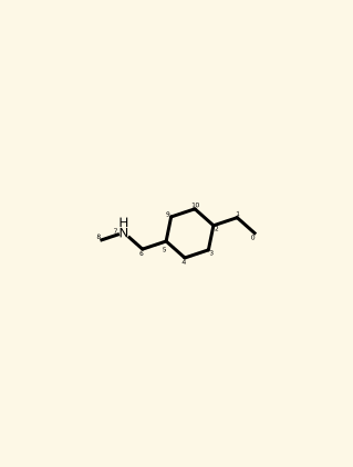 CCC1CCC(CNC)CC1